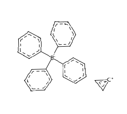 c1c[cH+]1.c1ccc([B-](c2ccccc2)(c2ccccc2)c2ccccc2)cc1